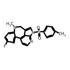 Cc1ccc(S(=O)(=O)n2cc3c4c(ccnc42)-c2cc(F)ccc2N(C)C3)cc1